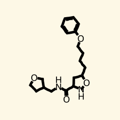 O=C(NCC1CCOC1)C1CC(CCCCOc2ccccc2)ON1